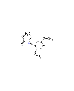 CC/C(=C\c1cc(OC)[c]cc1OC)[N+](=O)[O-]